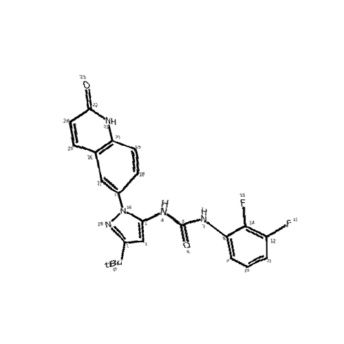 CC(C)(C)c1cc(NC(=O)Nc2cccc(F)c2F)n(-c2ccc3[nH]c(=O)ccc3c2)n1